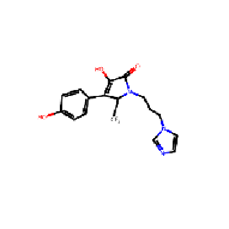 O=C1C(O)=C(c2ccc(O)cc2)C(C(F)(F)F)N1CCCn1ccnc1